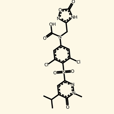 CC(C)c1cc(S(=O)(=O)c2c(Cl)cc(N(Cc3noc(=O)[nH]3)C(=O)O)cc2Cl)nn(C)c1=O